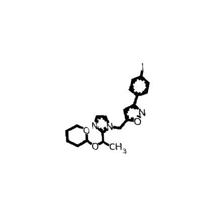 CC(OC1CCCCO1)c1nccn1Cc1cc(-c2ccc(I)cc2)no1